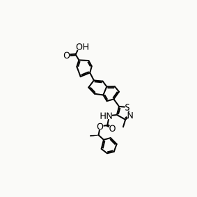 Cc1nsc(-c2ccc3cc(-c4ccc(C(=O)O)cc4)ccc3c2)c1NC(=O)O[C@H](C)c1ccccc1